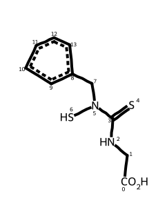 O=C(O)CNC(=S)N(S)Cc1ccccc1